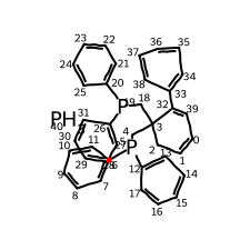 C1=CCC(CP(c2ccccc2)c2ccccc2)(CP(c2ccccc2)c2ccccc2)C(c2ccccc2)=C1.P